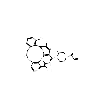 C=CC(=O)N1CCN(c2nc(=O)n3c4nc(c(F)cc24)-c2c(F)cccc2CCNc2ccnc(C(C)C)c2-3)[C@@H](C)C1